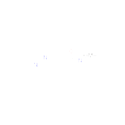 CON(C)C(=O)c1cc[c]c(-c2cn(C)cn2)c1